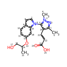 Cc1nn(C)c(-n2ccc3ccc(OC(C)CO)cc32)c1C=CC(=O)O